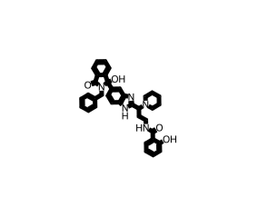 O=C(NCCC(c1nc2cc(C3(O)c4ccccc4C(=O)N3Cc3ccccc3)ccc2[nH]1)N1CCCCC1)c1ccccc1O